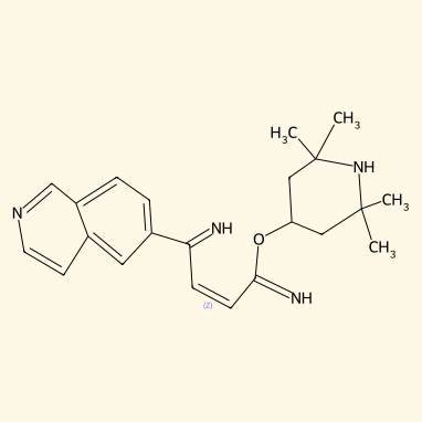 CC1(C)CC(OC(=N)/C=C\C(=N)c2ccc3cnccc3c2)CC(C)(C)N1